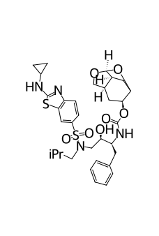 CC(C)CN(C[C@@H](O)[C@H](Cc1ccccc1)NC(=O)O[C@H]1C[C@H]2CO[C@H]3OC1C[C@@H]23)S(=O)(=O)c1ccc2nc(NC3CC3)sc2c1